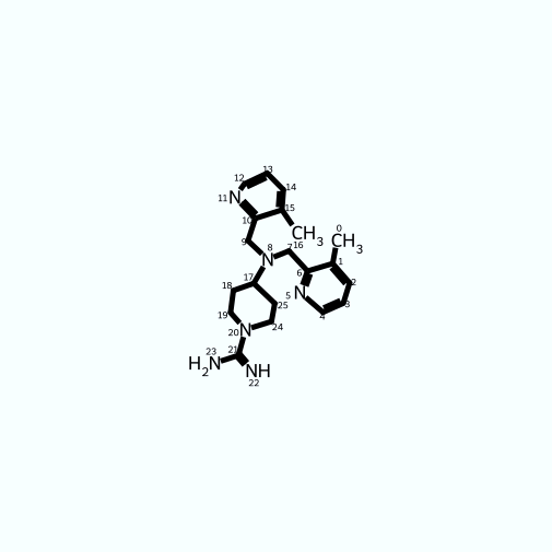 Cc1cccnc1CN(Cc1ncccc1C)C1CCN(C(=N)N)CC1